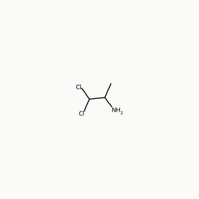 CC(N)C(Cl)Cl